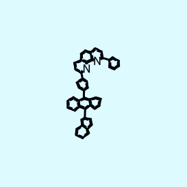 c1ccc(-c2ccc3ccc4ccc(-c5ccc(-c6c7ccccc7c(-c7ccc8ccccc8c7)c7ccccc67)cc5)nc4c3n2)cc1